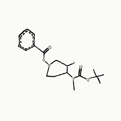 CN(C(=O)OC(C)(C)C)C1CCN(OC(=O)c2ccccc2)CC1F